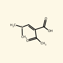 CC(=O)/C(=C\N(C)C)C(=O)O